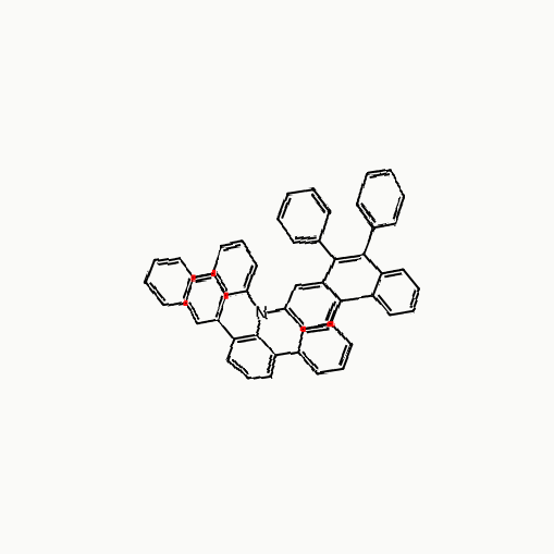 c1ccc(-c2cccc(N(c3ccc4c(c3)c(-c3ccccc3)c(-c3ccccc3)c3ccccc34)c3c(-c4ccccc4)cccc3-c3ccccc3)c2)cc1